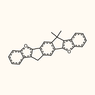 CC1(C)c2cc3c(cc2-c2oc4ccccc4c21)Cc1c-3oc2ccccc12